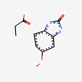 CCC(=O)O.COc1ccc2[nH]c(=O)[nH]c2c1